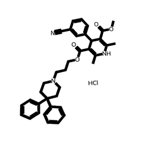 COC(=O)C1=C(C)NC(C)=C(C(=O)OCCCN2CCC(c3ccccc3)(c3ccccc3)CC2)C1c1cccc(C#N)c1.Cl